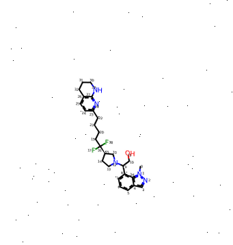 Cn1ncc2cccc(C(CO)N3CC[C@@H](C(F)(F)CCCCc4ccc5c(n4)NCCC5)C3)c21